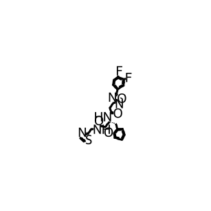 O=C(Cc1noc(-c2ccc(F)c(F)c2)n1)N[C@H](Cc1ccccc1)C(=O)C(=O)NCc1nccs1